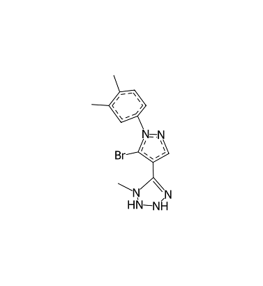 Cc1ccc(-n2ncc(C3=NNNN3C)c2Br)cc1C